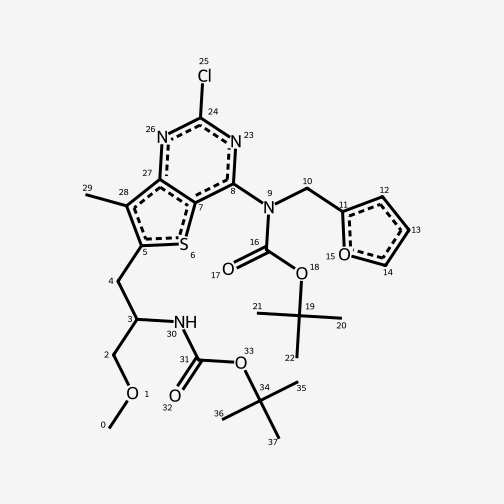 COCC(Cc1sc2c(N(Cc3ccco3)C(=O)OC(C)(C)C)nc(Cl)nc2c1C)NC(=O)OC(C)(C)C